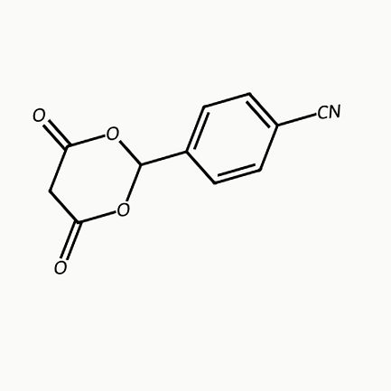 N#Cc1ccc(C2OC(=O)CC(=O)O2)cc1